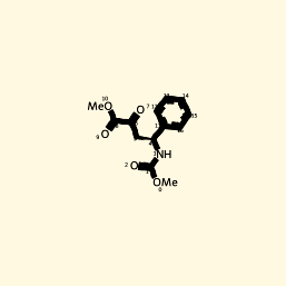 COC(=O)N[C@@H](CC(=O)C(=O)OC)c1ccccc1